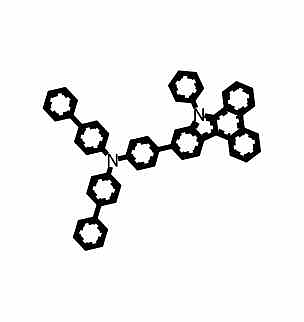 c1ccc(-c2ccc(N(c3ccc(-c4ccccc4)cc3)c3ccc(-c4ccc5c6c7ccccc7c7ccccc7c6n(-c6ccccc6)c5c4)cc3)cc2)cc1